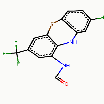 O=CNc1cc(C(F)(F)F)cc2c1Nc1cc(F)ccc1S2